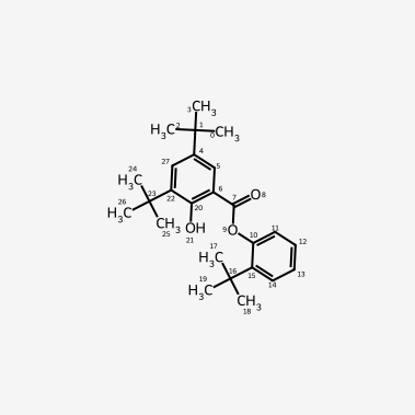 CC(C)(C)c1cc(C(=O)Oc2ccccc2C(C)(C)C)c(O)c(C(C)(C)C)c1